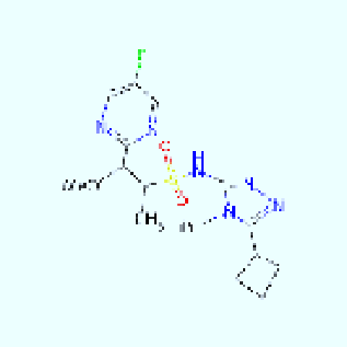 COC(c1ncc(Cl)cn1)C(C)S(=O)(=O)Nc1nnc(C2CCC2)n1C(C)C